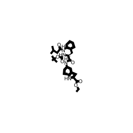 CCOC(=O)c1cc2cc(NC(=O)[C@H](Cc3ccccc3NC(=O)CC(C)C)NC(=O)OC(C)(C)C)ccc2[nH]1